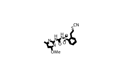 COc1cc(C)nc(NC(=O)NS(=O)(=O)c2ccccc2CCSC#N)n1